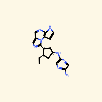 CC[C@@H]1C[C@H](Nc2cnc(N)cn2)C[C@@H]1c1ncc2cnc3[nH]ccc3n12